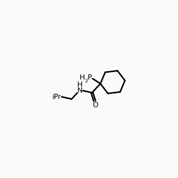 CC(C)CNC(=O)C1(P)CCCCC1